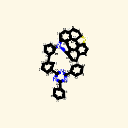 C1=CC2Sc3ccc4c5c3c2c2c1ccc1c2c5c(n1-c1cccc(-c2cccc(-c3nc(-c5ccccc5)nc(-c5ccccc5)n3)c2)c1)=CC4